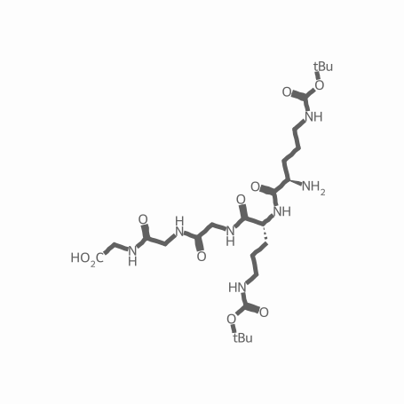 CC(C)(C)OC(=O)NCCC[C@@H](N)C(=O)N[C@H](CCCNC(=O)OC(C)(C)C)C(=O)NCC(=O)NCC(=O)NCC(=O)O